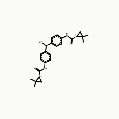 CC1(C)C[C@@H]1C(=O)Nc1ccc(C(O)c2ccc(NC(=O)[C@H]3CC3(C)C)cc2)cc1